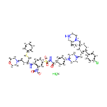 CC1(CN2CCNCC2)CCC(c2ccc(Cl)cc2)=C(CN2CCN(c3ccc(C(=O)NS(=O)(=O)c4ccc(NC(CCN5CCOCC5)CSc5ccccc5)c([N+](=O)[O-])c4)cc3)CC2)C1.Cl